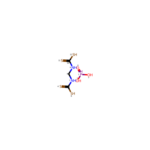 O=[PH](O)O.S=C(S)NCNC(=S)S